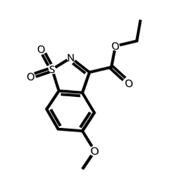 CCOC(=O)C1=NS(=O)(=O)c2ccc(OC)cc21